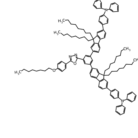 CCCCCCCCOc1ccc(-c2nnc(-c3cc(-c4ccc5c(c4)C(CCCCCCCC)(CCCCCCCC)c4cc(-c6ccc(N(c7ccccc7)c7ccccc7)cc6)ccc4-5)cc(-c4ccc5c(c4)C(CCCCCCCC)(CCCCCCCC)c4cc(-c6ccc(N(c7ccccc7)c7ccccc7)cc6)ccc4-5)c3)o2)cc1